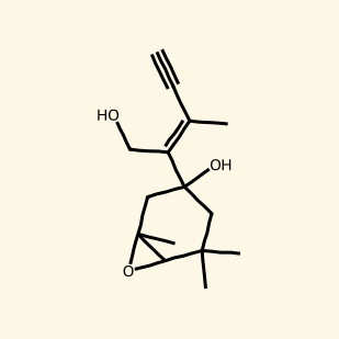 C#C/C(C)=C(\CO)C1(O)CC(C)(C)C2OC2(C)C1